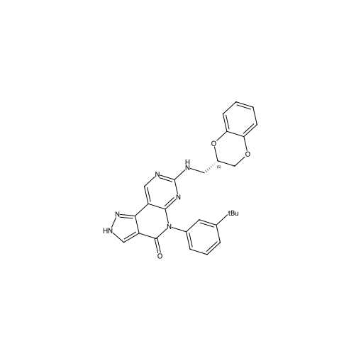 CC(C)(C)c1cccc(-n2c(=O)c3c[nH]nc3c3cnc(NC[C@H]4COc5ccccc5O4)nc32)c1